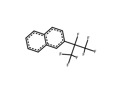 FC(F)(F)C(F)(c1ccc2ccccc2c1)C(F)(F)F